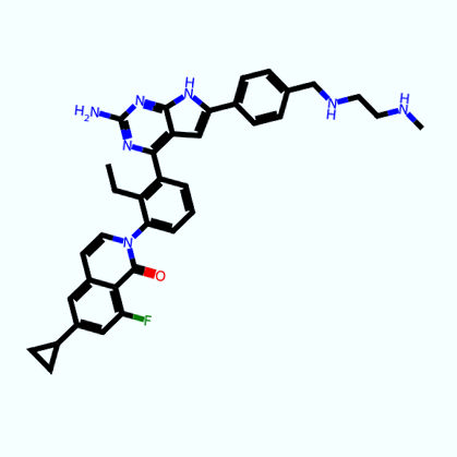 CCc1c(-c2nc(N)nc3[nH]c(-c4ccc(CNCCNC)cc4)cc23)cccc1-n1ccc2cc(C3CC3)cc(F)c2c1=O